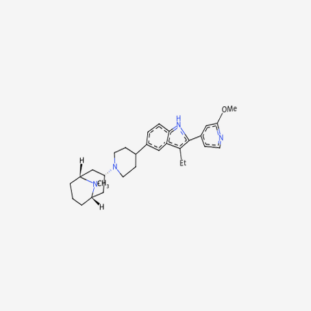 CCc1c(-c2ccnc(OC)c2)[nH]c2ccc(C3CCN([C@H]4C[C@H]5CCC[C@@H](C4)N5C)CC3)cc12